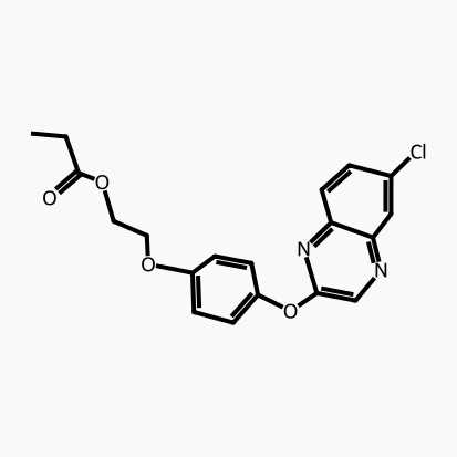 CCC(=O)OCCOc1ccc(Oc2cnc3cc(Cl)ccc3n2)cc1